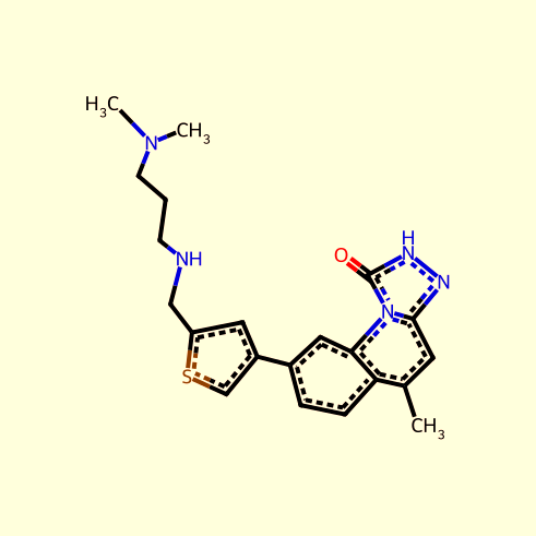 Cc1cc2n[nH]c(=O)n2c2cc(-c3csc(CNCCCN(C)C)c3)ccc12